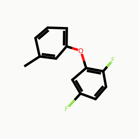 Cc1cccc(Oc2cc(F)ccc2F)c1